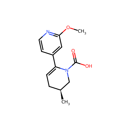 COc1cc(C2=CC[C@H](C)CN2C(=O)O)ccn1